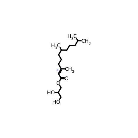 C/C(=C\C(=O)OCC(O)CO)CCCC(C)CCCC(C)C